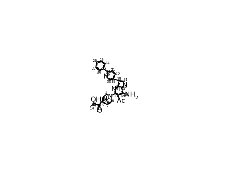 CC(=O)c1c(N2CC3CCC2CN3C(=O)[C@@H](C)O)nc2c(-c3ccc(-c4ccccc4)nc3)cnn2c1N